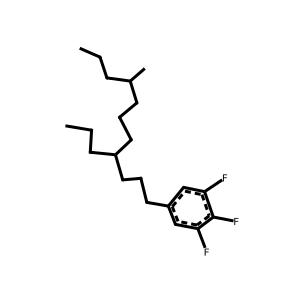 CCCC(C)CCCC(CCC)CCCc1cc(F)c(F)c(F)c1